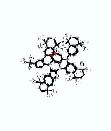 Cc1cc2c3c(c1)N(c1ccc(C(C)(C)C)cc1-c1cc4c(cc1C)C(C)(C)CCC4(C)C)c1c(oc4cc5c(cc14)C(C)(C)CCC5(C)C)B3c1cc3c(cc1N2c1ccc2c(c1)C(C)(C)CCC2(C)C)C(C)(C)CCC3(C)C